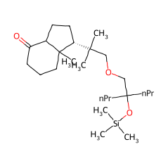 CCCC(CCC)(COCC(C)(C)[C@H]1CCC2C(=O)CCCC21C)O[Si](C)(C)C